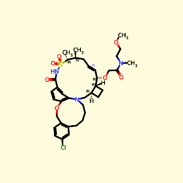 COCCN(C)C(=O)CO[C@H]1/C=C/C[C@H](C)[C@@H](C)S(=O)(=O)NC(=O)c2ccc3c(c2)N(CCCCc2cc(Cl)ccc2CO3)C[C@@H]2CC[C@H]21